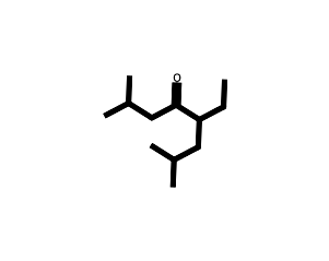 CCC(CC(C)C)C(=O)CC(C)C